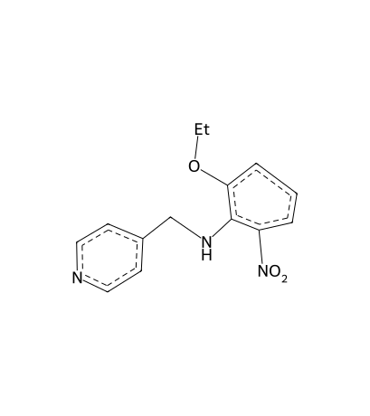 CCOc1cccc([N+](=O)[O-])c1NCc1ccncc1